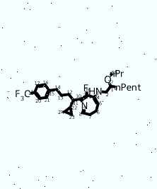 CCCCCC(CNC1=C/CC/C=N/C(C(CCCc2ccc(C(F)(F)F)cc2)C2CC2)=C\1F)OCCC